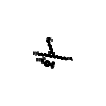 CCCCCCCCC(CCCCCCCC)OC(=O)CCCCCCC.O=C(O)Oc1ccc([N+](=O)[O-])cc1